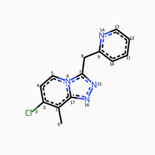 Cc1c(Cl)ccn2c(Cc3ccccn3)nnc12